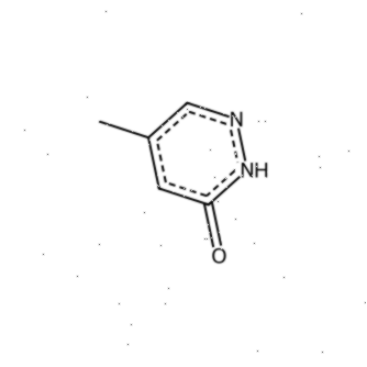 Cc1cn[nH]c(=O)c1